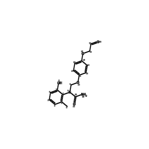 Cc1cccc(O)c1N(COc1ccc(OC[C]=O)cc1)C(N)=O